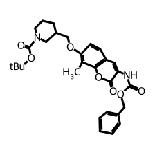 Cc1c(OCC2CCCN(C(=O)OC(C)(C)C)C2)ccc2cc(NC(=O)OCc3ccccc3)c(=O)oc12